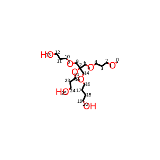 COCCCOCC(COCCCO)(COCCCCO)OCCCO